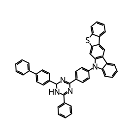 c1ccc(C2=NC(c3ccc(-n4c5ccccc5c5cc6c(cc54)sc4ccccc46)cc3)=NC(c3ccc(-c4ccccc4)cc3)N2)cc1